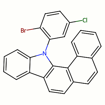 Clc1ccc(Br)c(-n2c3ccccc3c3ccc4ccc5ccccc5c4c32)c1